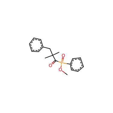 COP(=O)(C(=O)C(C)(C)Cc1ccccc1)c1ccccc1